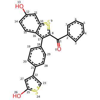 O=C(c1ccccc1)c1sc2cc(O)ccc2c1-c1ccc(-c2csc(O)c2)cc1